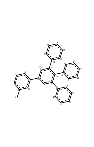 Cc1cccc(-c2cc(-c3ccccc3)c(-c3ccccc3)c(-c3ccccc3)n2)c1